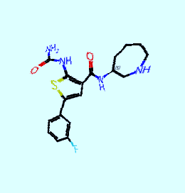 NC(=O)Nc1sc(-c2cccc(F)c2)cc1C(=O)N[C@H]1CCCCNC1